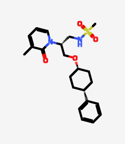 Cc1cccn([C@H](CNS(C)(=O)=O)CO[C@H]2CC[C@@H](c3ccccc3)CC2)c1=O